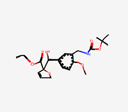 CCOC(=O)C1(C(O)c2ccc(OC)c(CNC(=O)OC(C)(C)C)c2)C=CCO1